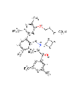 COc1cc(C)c(OCCCC(=O)O)cc1-c1ccc(C(F)(F)F)cc1CN(C1CCC1)C(C)C(O)c1cc(C(F)(F)F)cc(C(F)(F)F)c1